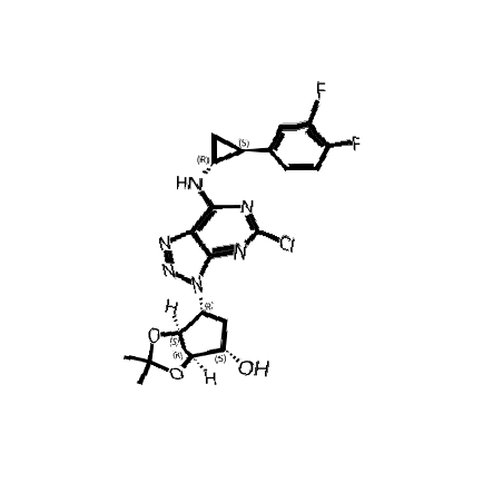 CC1(C)O[C@@H]2[C@H](O1)[C@@H](O)C[C@H]2n1nnc2c(N[C@@H]3C[C@H]3c3ccc(F)c(F)c3)nc(Cl)nc21